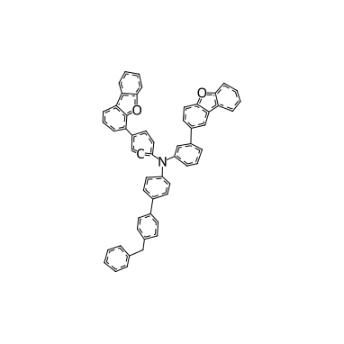 c1ccc(Cc2ccc(-c3ccc(N(c4ccc(-c5cccc6c5oc5ccccc56)cc4)c4cccc(-c5ccc6oc7ccccc7c6c5)c4)cc3)cc2)cc1